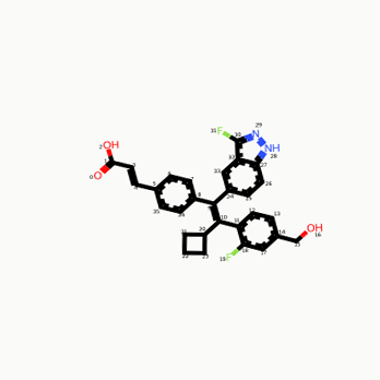 O=C(O)C=Cc1ccc(C(=C(c2ccc(CO)cc2F)C2CCC2)c2ccc3[nH]nc(F)c3c2)cc1